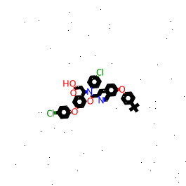 CC(C)(C)c1ccc(Oc2ccc3cc(C(=O)N(c4ccc(Cl)cc4)C(CC(=O)O)c4ccc(Oc5ccc(Cl)cc5)cc4)ncc3c2)cc1